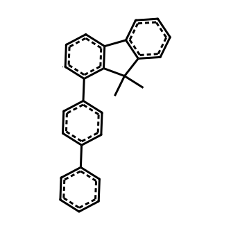 CC1(C)c2ccccc2-c2cc[c]c(-c3ccc(-c4ccccc4)cc3)c21